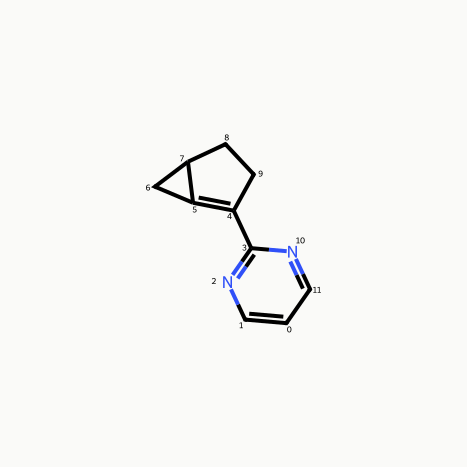 c1cnc(C2=C3CC3CC2)nc1